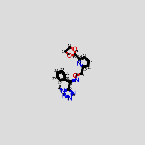 Cn1nnnc1/C(=N/OCc1cccc(C2OCCO2)n1)c1ccccc1